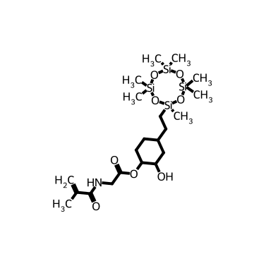 C=C(C)C(=O)NCC(=O)OC1CCC(CC[Si]2(C)O[Si](C)(C)O[Si](C)(C)O[Si](C)(C)O2)CC1O